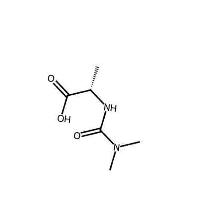 C[C@H](NC(=O)N(C)C)C(=O)O